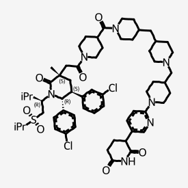 CC(C)[C@H](CS(=O)(=O)C(C)C)N1C(=O)[C@](C)(CC(=O)N2CCC(C(=O)N3CCC(CC4CCN(CC5CCN(c6ccc(C7CCC(=O)NC7=O)cn6)CC5)CC4)CC3)CC2)C[C@@H](c2cccc(Cl)c2)[C@@H]1c1ccc(Cl)cc1